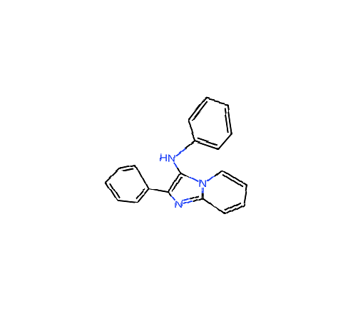 c1ccc(Nc2c(-c3ccccc3)nc3ccccn23)cc1